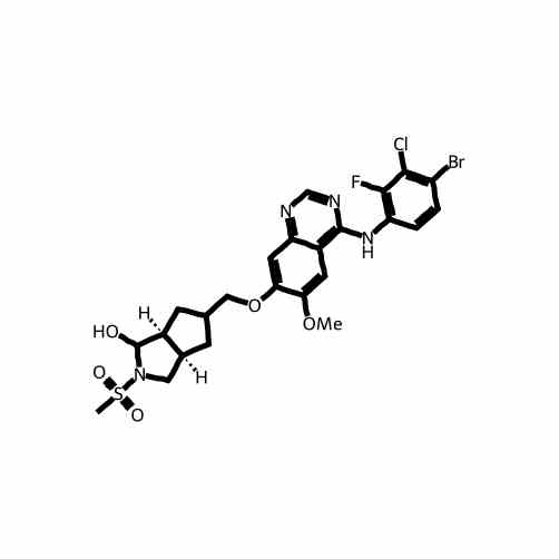 COc1cc2c(Nc3ccc(Br)c(Cl)c3F)ncnc2cc1OCC1C[C@H]2CN(S(C)(=O)=O)C(O)[C@H]2C1